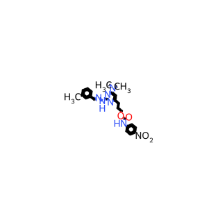 Cc1cccc(/C=N/Nc2nc(CCCOC(=O)Nc3ccc([N+](=O)[O-])cc3)cc(N(C)C)n2)c1